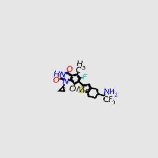 COc1c(-c2cc3c(s2)CCC(C(N)C(F)(F)F)C3)c(F)c(C)c2c(=O)[nH]c(=O)n(C3CC3)c12